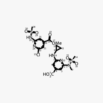 CN(c1cc(C(=O)O)cc(NC2CC2)n1)S(C)(=O)=O.COC(=O)c1cc(Cl)nc(NS(C)(=O)=O)c1